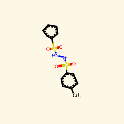 Cc1ccc(S(=O)(=O)[N]NS(=O)(=O)c2ccccc2)cc1